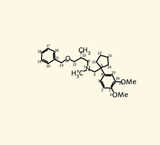 COc1ccc(C2(CN(C)C[C@@H](C)COCc3ccccc3)CCCC2)cc1OC